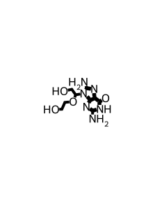 Nc1nc2c(nc(N)n2C(CO)OCCO)c(=O)[nH]1